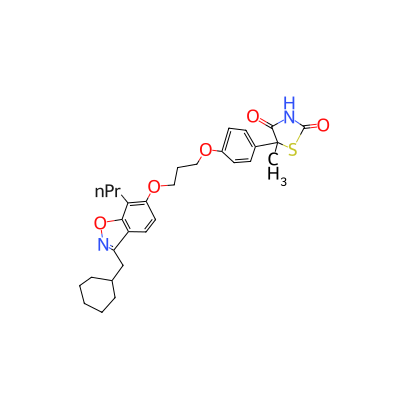 CCCc1c(OCCCOc2ccc(C3(C)SC(=O)NC3=O)cc2)ccc2c(CC3CCCCC3)noc12